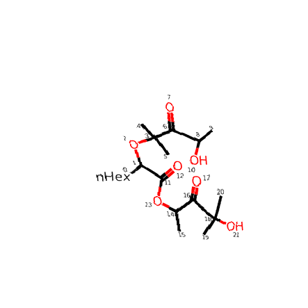 CCCCCCC(OC(C)(C)C(=O)C(C)O)C(=O)OC(C)C(=O)C(C)(C)O